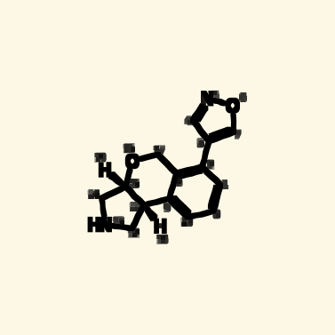 c1cc(-c2cnoc2)c2c(c1)[C@@H]1CNC[C@@H]1OC2